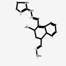 CCCCC1CC(/C=N/NC)C2C=CC=CC2=C1/C=N/NC1=NCCN1